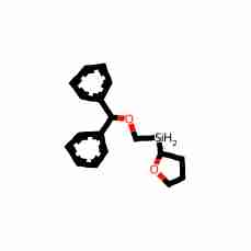 c1ccc(C(OC[SiH2]C2CCCO2)c2ccccc2)cc1